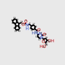 O=C(NCc1ccc(C(=O)Nc2ccn([C@H]3C[C@@H](O)[C@@H](CO)O3)c(=O)n2)cc1)OCC1c2ccccc2-c2ccccc21